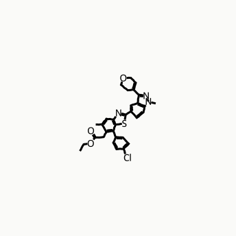 CCOC(=O)Cc1c(C)cc2nc(-c3ccc4c(c3)c(C3=CCOCC3)nn4C)sc2c1-c1ccc(Cl)cc1